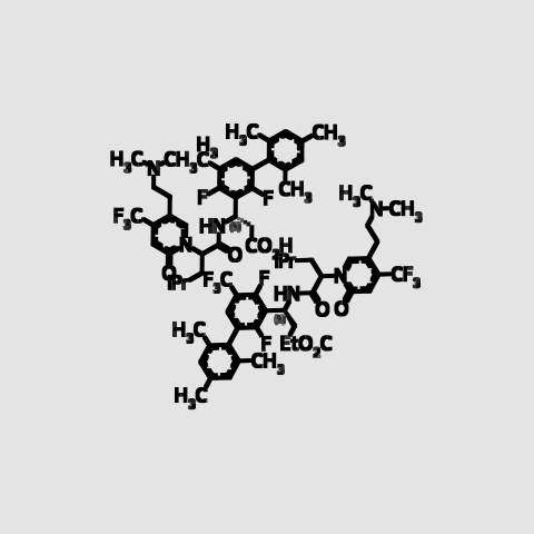 CCOC(=O)C[C@H](NC(=O)C(CC(C)C)n1cc(CCN(C)C)c(C(F)(F)F)cc1=O)c1c(F)c(-c2c(C)cc(C)cc2C)cc(C(F)(F)F)c1F.Cc1cc(C)c(-c2cc(C)c(F)c([C@H](CC(=O)O)NC(=O)C(CC(C)C)n3cc(CCN(C)C)c(C(F)(F)F)cc3=O)c2F)c(C)c1